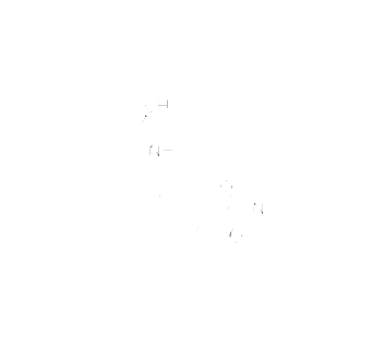 C[C@@H](NCc1cccc(S(=O)(=O)N2CCCCC2)c1)c1ccccc1